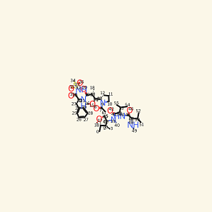 CC[C@H](C)[C@@H]([C@@H](CC(=O)N1CCC[C@H]1[C@H](OC)[C@@H](C)C(=O)N[C@@H](Cc1ccccc1)C(=O)NS(C)(=O)=O)OC)N(C)C(=O)[C@@H](NC(=O)[C@@H](NC)C(C)C)C(C)C